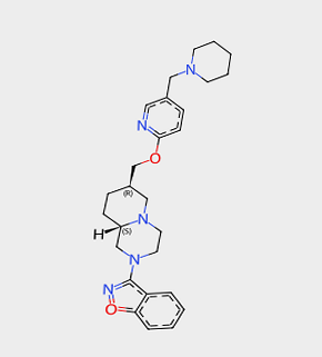 c1ccc2c(N3CCN4C[C@H](COc5ccc(CN6CCCCC6)cn5)CC[C@H]4C3)noc2c1